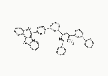 C=C(/C=C(\N=C\c1ccccc1)c1cccc(-c2ccc(-c3nc4ccccc4c4nc5ccccn5c34)cc2)c1)c1cccc(-c2ccccc2)c1